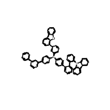 c1ccc(-c2cccc(-c3ccc(N(c4ccc(-c5ccccc5-c5ccccc5-n5c6ccccc6c6ccccc65)cc4)c4cccc(-c5cccc6c5oc5ccccc56)c4)cc3)c2)cc1